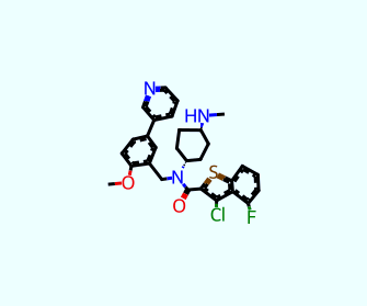 CN[C@H]1CC[C@H](N(Cc2cc(-c3cccnc3)ccc2OC)C(=O)c2sc3cccc(F)c3c2Cl)CC1